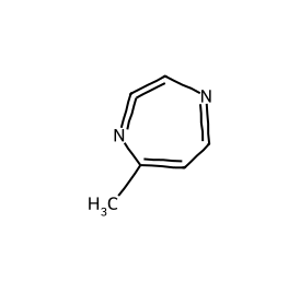 CC1=CC=NC=C=N1